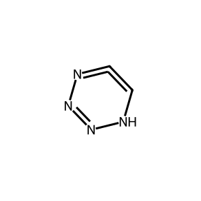 C1=CNN=NN=1